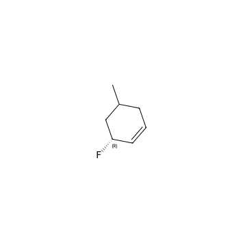 CC1CC=C[C@H](F)C1